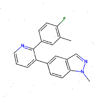 Cc1cc(-c2ncccc2-c2ccc3c(cnn3C)c2)ccc1F